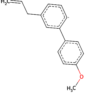 C=CCc1cc[c]c(-c2ccc(OC)cc2)c1